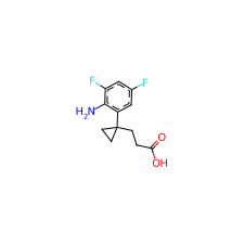 Nc1c(F)cc(F)cc1C1(CCC(=O)O)CC1